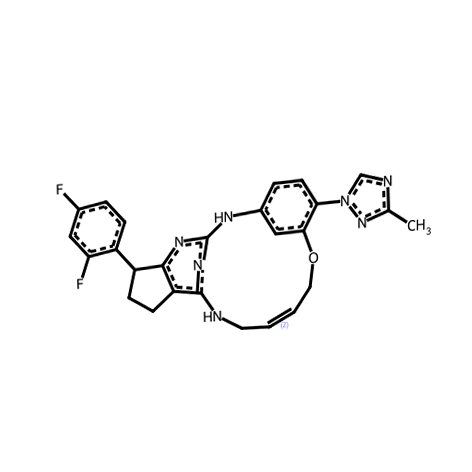 Cc1ncn(-c2ccc3cc2OC/C=C\CNc2nc(nc4c2CCC4c2ccc(F)cc2F)N3)n1